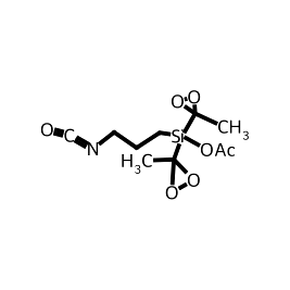 CC(=O)O[Si](CCCN=C=O)(C1(C)OO1)C1(C)OO1